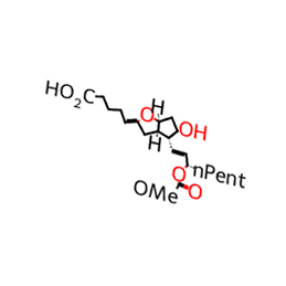 CCCCC[C@@H](/C=C/[C@@H]1[C@H]2C/C(=C/CCCC(=O)O)O[C@H]2C[C@H]1O)OC(=O)OC